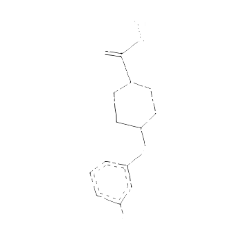 NNC(=O)C1CCC(Oc2cccc(C(F)(F)F)c2)CC1